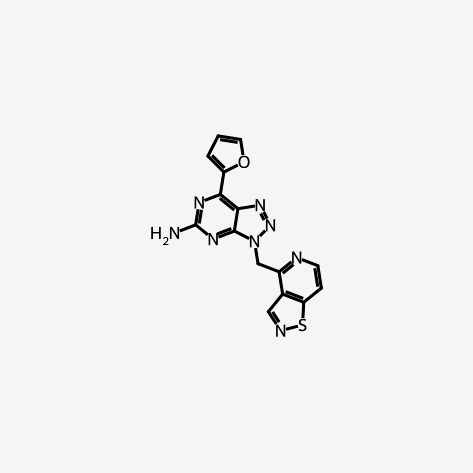 Nc1nc(-c2ccco2)c2nnn(Cc3nccc4sncc34)c2n1